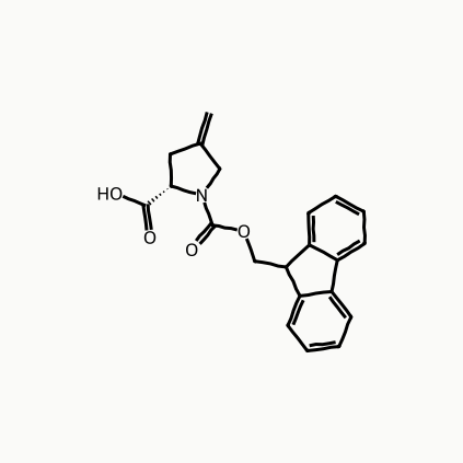 C=C1C[C@@H](C(=O)O)N(C(=O)OCC2c3ccccc3-c3ccccc32)C1